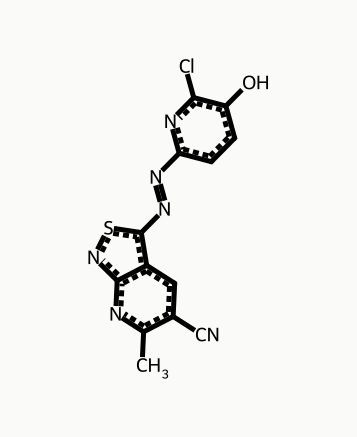 Cc1nc2nsc(/N=N/c3ccc(O)c(Cl)n3)c2cc1C#N